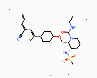 C=C/C=C(C#N)\C=C(/C)[C@H]1CC[C@@H](OC[C@H]2[C@@H](NS(C)(=O)=O)CCCN2C(=O)NCC)CC1